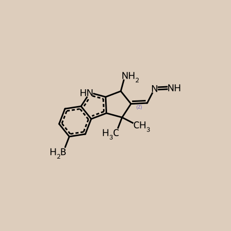 Bc1ccc2[nH]c3c(c2c1)C(C)(C)/C(=C/N=N)C3N